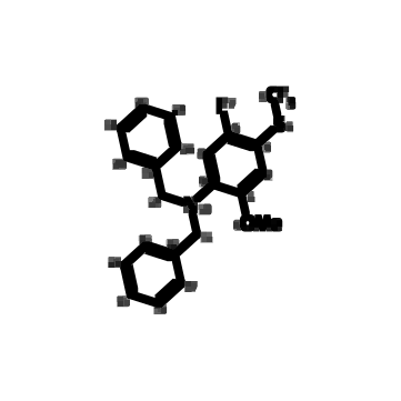 COc1cc(SC(F)(F)F)c(F)cc1N(Cc1ccccc1)Cc1ccccc1